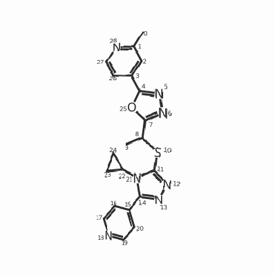 Cc1cc(-c2nnc(C(C)Sc3nnc(-c4ccncc4)n3C3CC3)o2)ccn1